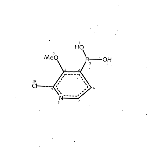 COc1c(B(O)O)ccnc1Cl